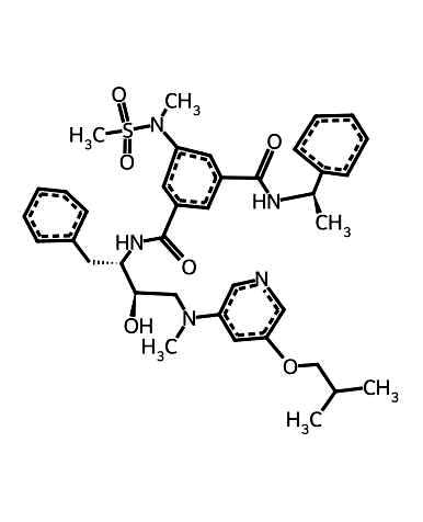 CC(C)COc1cncc(N(C)C[C@@H](O)[C@H](Cc2ccccc2)NC(=O)c2cc(C(=O)N[C@H](C)c3ccccc3)cc(N(C)S(C)(=O)=O)c2)c1